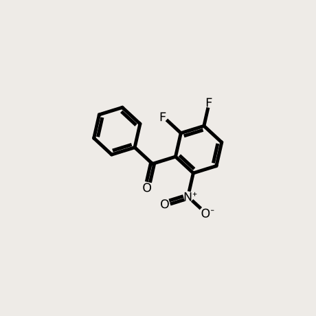 O=C(c1ccccc1)c1c([N+](=O)[O-])ccc(F)c1F